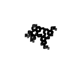 CCN1C(=O)C(C)(C)C(=O)N(C)c2cc(CN(CCn3ccc4oc(C)cc4c3=O)Cc3ccncc3C)ccc21